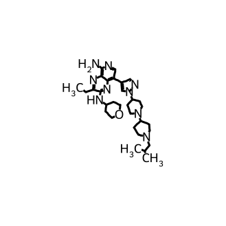 CCc1nc2c(N)ncc(-c3cnn(C4CCN(C5CCN(CC(C)C)CC5)CC4)c3)c2nc1NC1CCOCC1